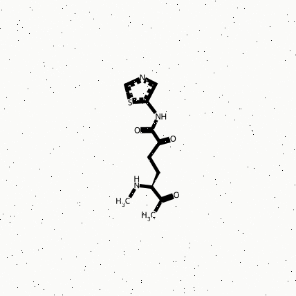 CN[C@@H](CCC(=O)C(=O)Nc1cncs1)C(C)=O